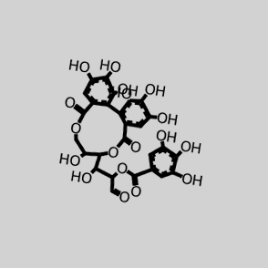 O=CC(OC(=O)c1cc(O)c(O)c(O)c1)C(O)C1OC(=O)c2cc(O)c(O)c(O)c2-c2c(cc(O)c(O)c2O)C(=O)OCC1O